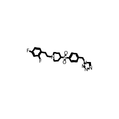 O=S(=O)(c1ccc(Cn2cnnn2)cc1)C1CCN(CCc2ccc(F)cc2F)CC1